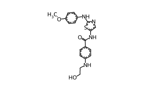 COc1ccc(Nc2ncc(NC(=O)c3ccc(NCCO)cc3)s2)cc1